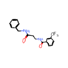 O=C(CCNC(=O)c1cccc(C(F)(F)F)c1)NCc1ccccc1